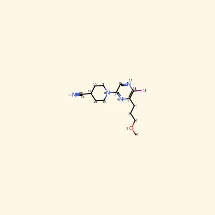 COCCCc1nc(N2CCC(C#N)CC2)cnc1I